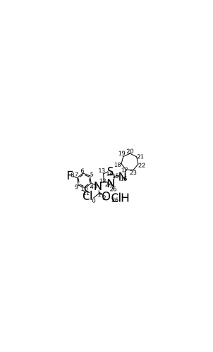 CC(=O)N(c1ccc(F)cc1Cl)C1CSC(=NC2CCCCCC2)N1C.Cl